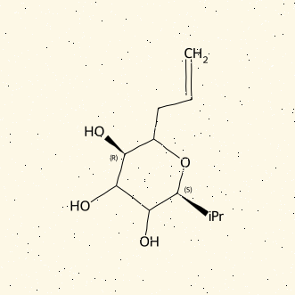 C=CCC1O[C@@H](C(C)C)C(O)C(O)[C@H]1O